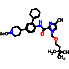 CON1CCC(c2ccc(NC(=O)c3nc(C#N)cn3COCC[Si](C)(C)C)c(C3=CCCCC3)c2)CC1